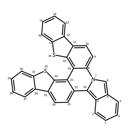 c1ccc2c(c1)cn1c3ccc4c5ccccc5sc4c3c3c(ccc4c5ccccc5sc43)c21